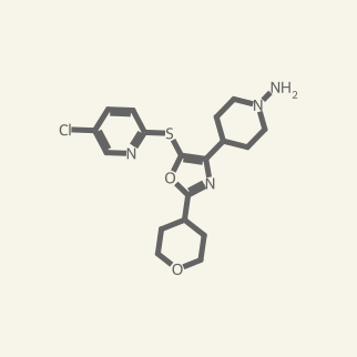 NN1CCC(c2nc(C3CCOCC3)oc2Sc2ccc(Cl)cn2)CC1